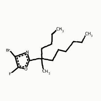 CCCCCCC(C)(CCCC)c1nc(Br)c(F)o1